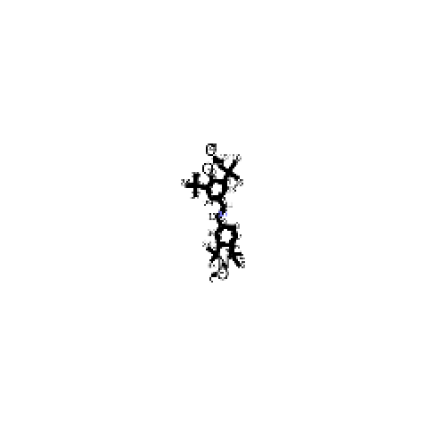 CON1C(C)(C)c2ccc(/C=C/c3cc(C(C)(C)C)c(OC(C)=O)c(C(C)(C)C)c3)cc2C1(C)C